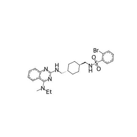 CCN(C)c1nc(NC[C@H]2CC[C@H](CNS(=O)(=O)c3ccccc3Br)CC2)nc2ccccc12